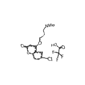 CNCCCOc1cc(=O)oc2ccc(Cl)cc12.O=C(O)C(F)(F)F